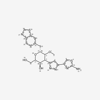 COC1C(n2cc(-c3csc(N)n3)nn2)[C@@H](O)C(CO)O[C@@H]1Sc1ccc2ncsc2c1